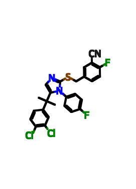 CC(C)(c1ccc(Cl)c(Cl)c1)c1cnc(SCc2ccc(F)c(C#N)c2)n1-c1ccc(F)cc1